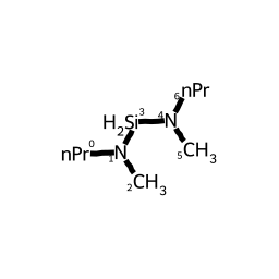 CCCN(C)[SiH2]N(C)CCC